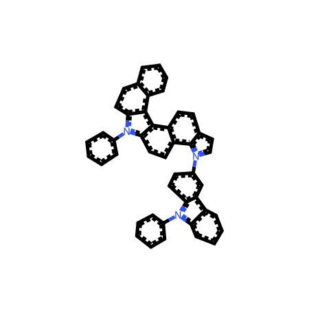 c1ccc(-n2c3ccccc3c3cc(-n4ccc5ccc6c(ccc7c6c6c8ccccc8ccc6n7-c6ccccc6)c54)ccc32)cc1